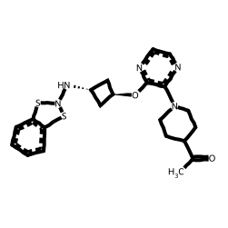 CC(=O)C1CCN(c2nccnc2O[C@H]2C[C@H](NN3Sc4ccccc4S3)C2)CC1